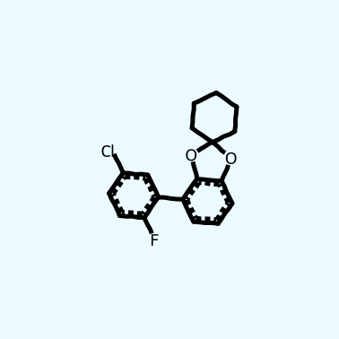 Fc1ccc(Cl)cc1-c1cccc2c1OC1(CCCCC1)O2